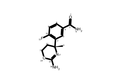 C[C@]1(c2cc(C(N)=O)ccc2F)CCOC(N)=N1